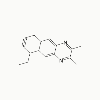 CCC1C#CCC2C=c3nc(C)c(C)nc3=CC12